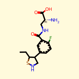 CCC1SNCC1c1ccc(F)c(C(=O)NC[C@@H](N)C(=O)O)c1